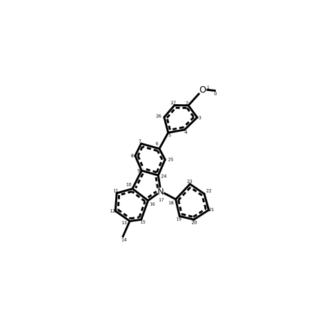 COc1ccc(-c2ccc3c4ccc(C)cc4n(-c4ccccc4)c3c2)cc1